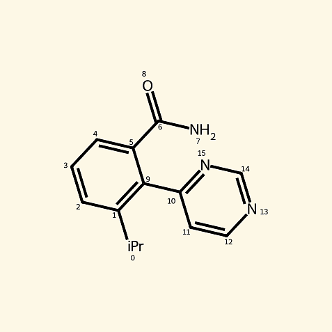 CC(C)c1cccc(C(N)=O)c1-c1ccncn1